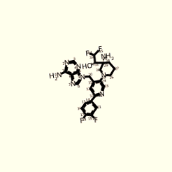 Nc1ncnc2c1ncn2Cc1cc(-c2ccc(F)c(F)c2)ncc1N1CCC[C@](N)([C@H](O)C(F)F)C1